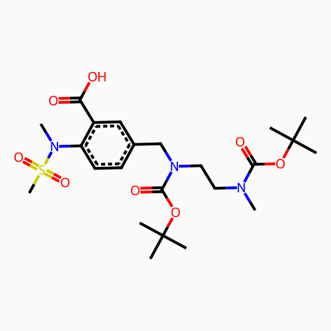 CN(CCN(Cc1ccc(N(C)S(C)(=O)=O)c(C(=O)O)c1)C(=O)OC(C)(C)C)C(=O)OC(C)(C)C